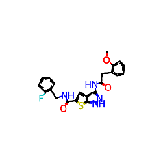 COc1ccccc1CC(=O)Nc1n[nH]c2sc(C(=O)NCc3ccccc3F)cc12